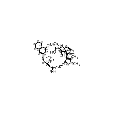 CN/C1=C\C(=N)CSCc2nn(C)c(C)c2C2=C(Cl)C=CC3N(CCCOc4cc(cc5c4CCCC5)SC1)C(C(=O)O)=C(C)C23C